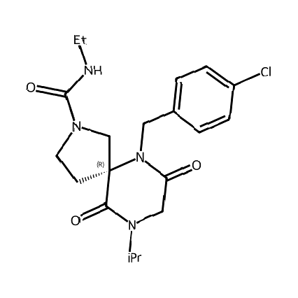 CCNC(=O)N1CC[C@@]2(C1)C(=O)N(C(C)C)CC(=O)N2Cc1ccc(Cl)cc1